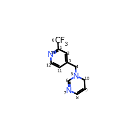 FC(F)(F)c1cc(CN2C=NC=CC2)ccn1